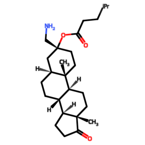 CC(C)CCC(=O)O[C@]1(CN)CC[C@@]2(C)[C@@H](CC[C@@H]3[C@@H]2CC[C@]2(C)C(=O)CC[C@@H]32)C1